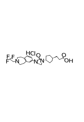 Cl.O=C(O)CC[C@H]1CC[C@H](N2CCN(c3ccc4c(c3)CCN(CC(F)(F)F)CC4)C2=O)CC1